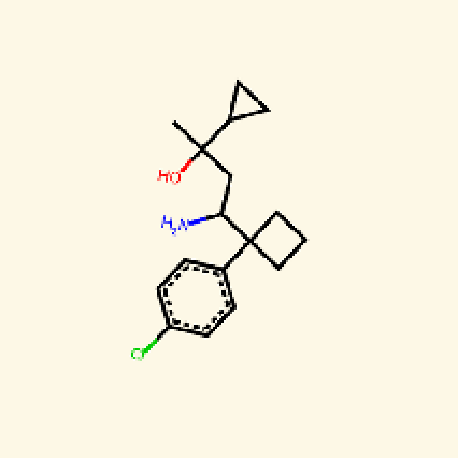 CC(O)(CC(N)C1(c2ccc(Cl)cc2)CCC1)C1CC1